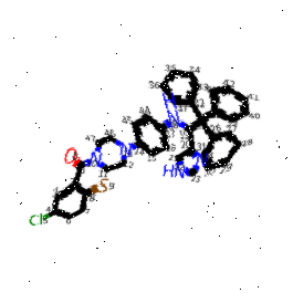 O=C(C1=CC(Cl)=CCC1=S)N1CCN(c2ccc(NC(c3c[nH]cn3)C(c3ccccc3)(c3ccccc3)c3ccccc3)cc2)CC1